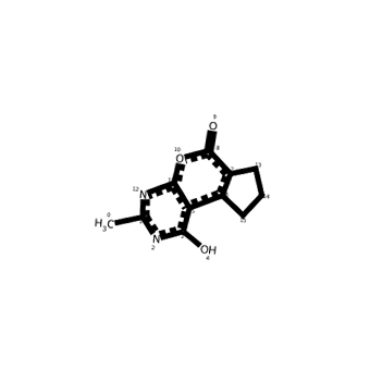 Cc1nc(O)c2c3c(c(=O)oc2n1)CCC3